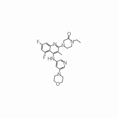 CCN1CCN(c2nc3cc(F)cc(F)c3c(Nc3cncc(N4CCOCC4)c3)c2C)CC1=O